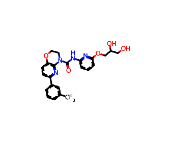 O=C(Nc1cccc(OCC(O)CO)n1)N1CCOc2ccc(-c3cccc(C(F)(F)F)c3)nc21